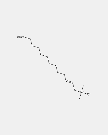 CCCCCCCCCCCCCCCCCCCC=CC[N+](C)(C)[O-]